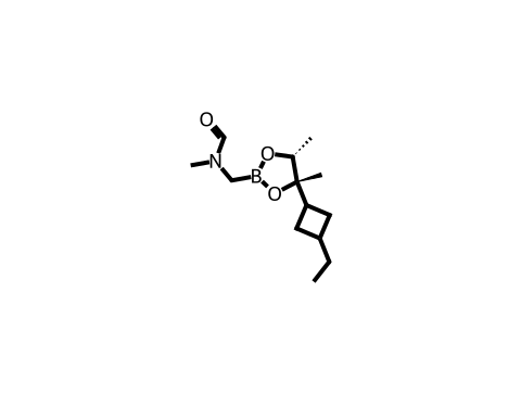 CCC1CC([C@]2(C)OB(CN(C)C=O)O[C@@H]2C)C1